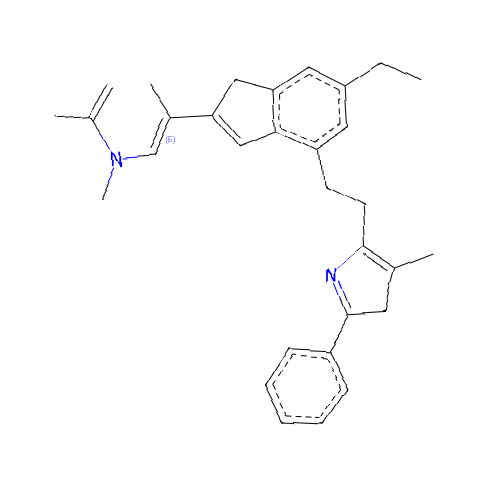 C=C(C)N(C)/C=C(\C)C1=Cc2c(CCC3=C(C)CC(c4ccccc4)=N3)cc(CC)cc2C1